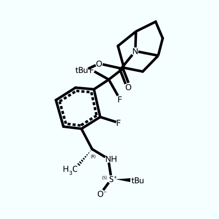 C[C@@H](N[S@+]([O-])C(C)(C)C)c1cccc(C(F)(F)C2CC3CCC(C2)N3C(=O)OC(C)(C)C)c1F